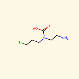 NCCN(CCCF)C(=O)O